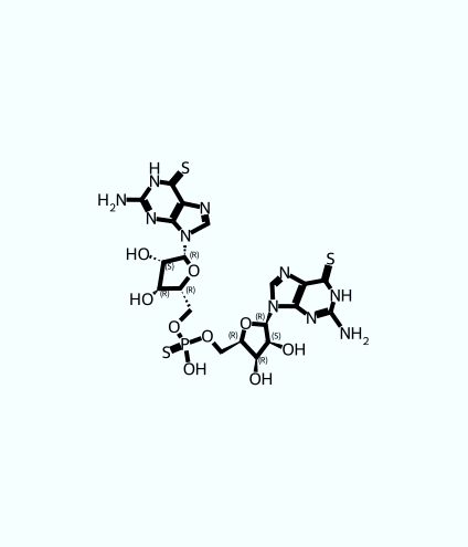 Nc1nc2c(ncn2[C@@H]2O[C@H](COP(O)(=S)OC[C@H]3O[C@@H](n4cnc5c(=S)[nH]c(N)nc54)[C@@H](O)[C@H]3O)[C@H](O)[C@@H]2O)c(=S)[nH]1